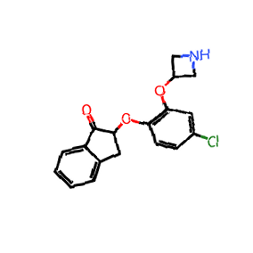 O=C1c2ccccc2CC1Oc1ccc(Cl)cc1OC1CNC1